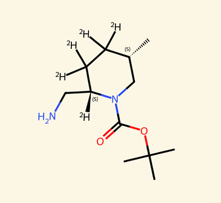 [2H]C1([2H])[C@H](C)CN(C(=O)OC(C)(C)C)[C@]([2H])(CN)C1([2H])[2H]